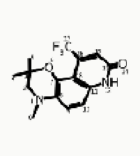 CN1CC(C)(C)Oc2c1ccc1[nH]c(=O)cc(C(F)(F)F)c21